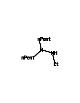 CCCCCN(CCCCC)NCC